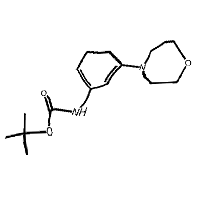 CC(C)(C)OC(=O)NC1=CCCC(N2CCOCC2)=C1